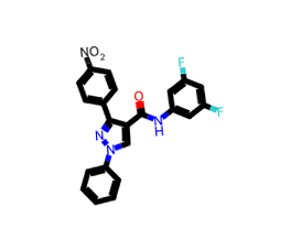 O=C(Nc1cc(F)cc(F)c1)c1cn(-c2ccccc2)nc1-c1ccc([N+](=O)[O-])cc1